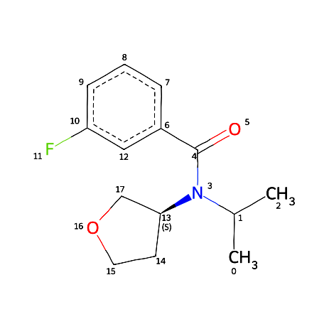 CC(C)N(C(=O)c1cccc(F)c1)[C@H]1CCOC1